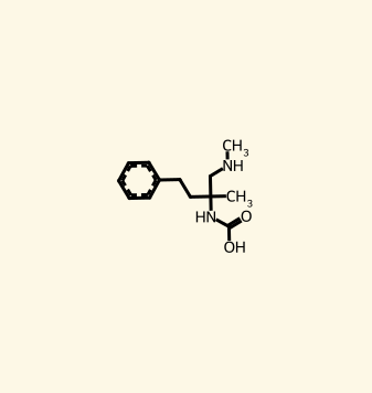 CNCC(C)(CCc1ccccc1)NC(=O)O